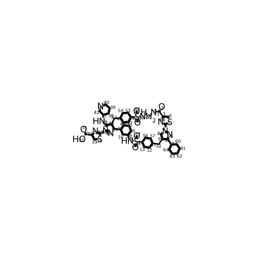 NC(=O)c1csc(-n2cc(Cc3ccc(S(=O)(=O)Nc4cccc(-c5nn(-c6nc(C(=O)O)cs6)c(Nc6cccnc6)c5Cc5ccc(S(N)(=O)=O)cc5)c4)cc3)c(-c3ccccc3)n2)n1